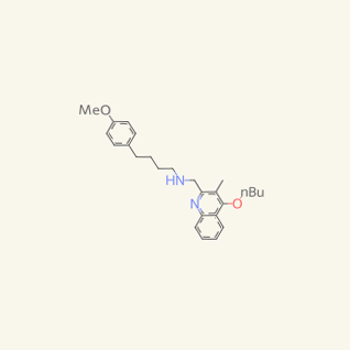 CCCCOc1c(C)c(CNCCCCc2ccc(OC)cc2)nc2ccccc12